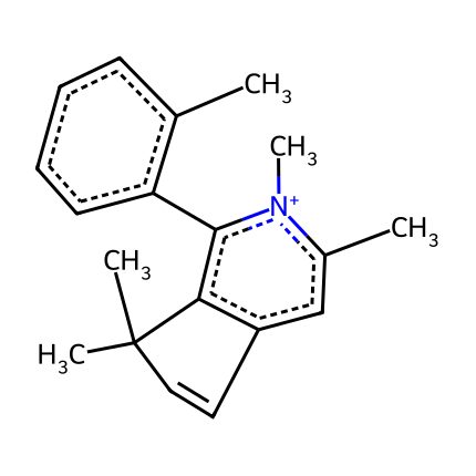 Cc1ccccc1-c1c2c(cc(C)[n+]1C)C=CC2(C)C